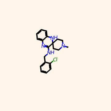 CN1CCC2(CC1)Nc1ccccc1N=C2NCc1ccccc1Cl